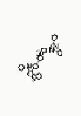 c1ccc(-c2cc(-c3ccc4oc5cc(-c6ccc7c(c6)nc(-c6ccccc6)c6ccc8sc9ccccc9c8c67)ccc5c4c3)nc(-c3ccccc3)n2)cc1